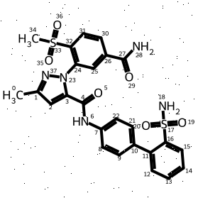 Cc1cc(C(=O)Nc2ccc(-c3ccccc3S(N)(=O)=O)cc2)n(-c2cc(C(N)=O)ccc2S(C)(=O)=O)n1